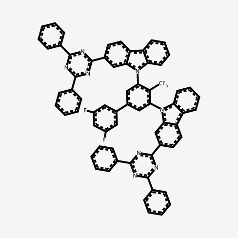 Fc1cc(F)cc(-c2cc(-n3c4ccccc4c4ccc(-c5nc(-c6ccccc6)nc(-c6ccccc6)n5)cc43)c(C(F)(F)F)c(-n3c4ccccc4c4ccc(-c5nc(-c6ccccc6)nc(-c6ccccc6)n5)cc43)c2)c1